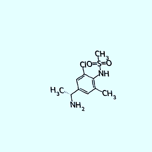 Cc1cc([C@@H](C)N)cc(Cl)c1NS(C)(=O)=O